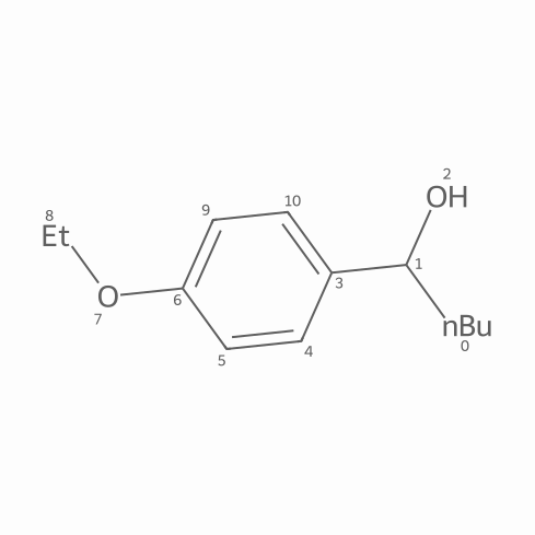 CCCCC(O)c1ccc(OCC)cc1